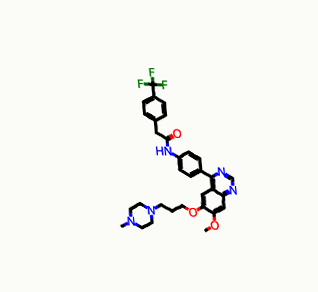 COc1cc2ncnc(-c3ccc(NC(=O)Cc4ccc(C(F)(F)F)cc4)cc3)c2cc1OCCCN1CCN(C)CC1